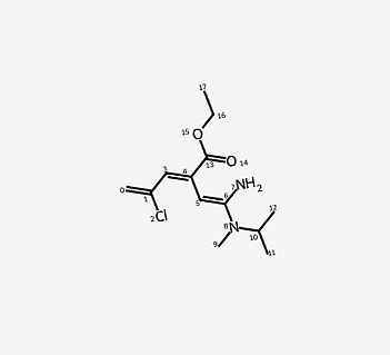 C=C(Cl)/C=C(\C=C(/N)N(C)C(C)C)C(=O)OCC